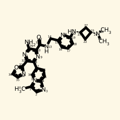 Cc1cnc2ccc(-c3nc(C(=O)NCc4cccc(N[C@H]5C[C@@H](N(C)C)C5)n4)c(N)nc3-c3ncco3)cn12